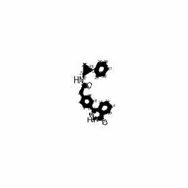 O=C(Cc1ccc(-c2n[nH]c(=O)c3ccccc23)cc1)N[C@H]1C[C@@H]1c1ccccc1